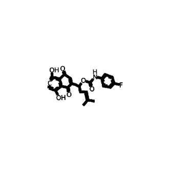 CC(C)=CCC(OC(=O)Nc1ccc(F)cc1)C1=CC(=O)c2c(O)ccc(O)c2C1=O